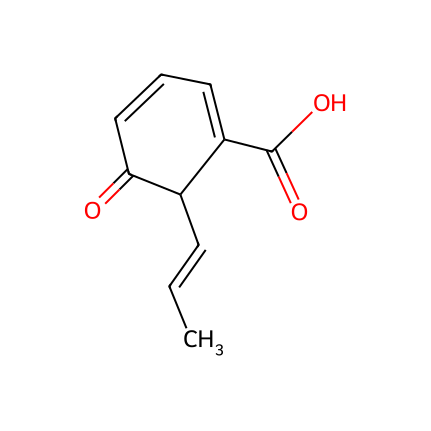 CC=CC1C(=O)C=CC=C1C(=O)O